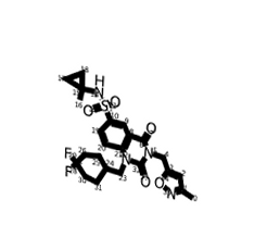 Cc1cc(Cn2c(=O)c3cc(S(=O)(=O)NC4(C)CC4)ccc3n(CC3CCC(F)(F)CC3)c2=O)on1